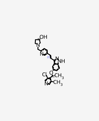 Cc1cncc(Cl)c1[C@@H](C)Oc1ccc2[nH]nc(/C=C/c3ccc(CN4CC[C@H](O)C4)nc3)c2c1